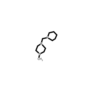 CN1CCN(CN2CCCCC2)CC1